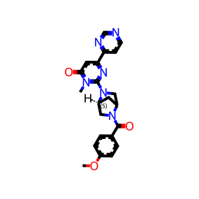 COc1ccc(C(=O)N2C[C@@H]3CC2CN3c2nc(-c3ccncn3)cc(=O)n2C)cc1